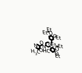 CCOc1cc(C=O)ccc1OC(CC)CC.CCOc1cc(CN2CCC(NC(=O)c3cncc(C)c3)CC2)ccc1OC(CC)CC